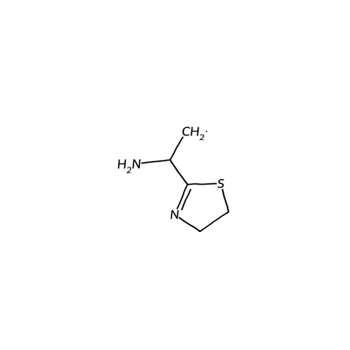 [CH2]C(N)C1=NCCS1